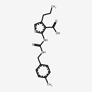 CCCc1csc(NC(=O)NCc2ccc(C)cc2)c1C(=O)O